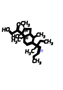 CC/C=C\[C@@](C)(CC)C1=CC[C@@]2(C)C(C[C@@H](C)[C@]2(O)C(=O)CO)C1C